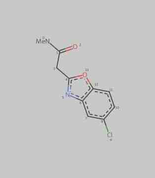 CNC(=O)Cc1nc2cc(Cl)ccc2o1